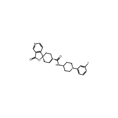 O=C1O[C@]2(CC[C@H](C(=O)NC3CCN(c4cccc(F)c4)CC3)CC2)c2ccncc21